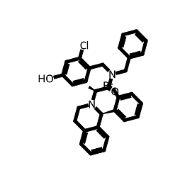 C[C@@H](C(=O)N(Cc1ccccc1)Cc1ccc(O)cc1Cl)N1CCc2ccccc2[C@@H]1c1ccccc1Br